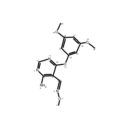 CON=Cc1c(N)ncnc1Oc1cc(OC)cc(OC)c1